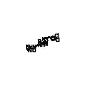 O=C(NCCNC(=O)c1cnn2cc(Cc3ccc(Cl)c(Cl)c3)cnc12)c1cnccn1